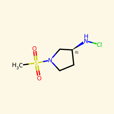 CS(=O)(=O)N1CC[C@H](NCl)C1